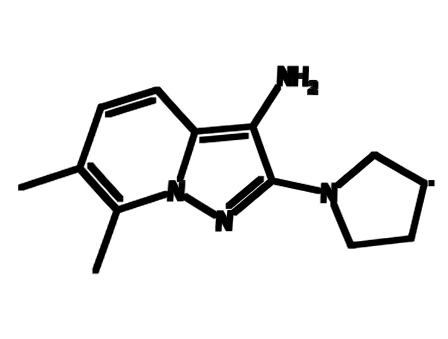 Cc1ccc2c(N)c(N3C[CH]CC3)nn2c1C